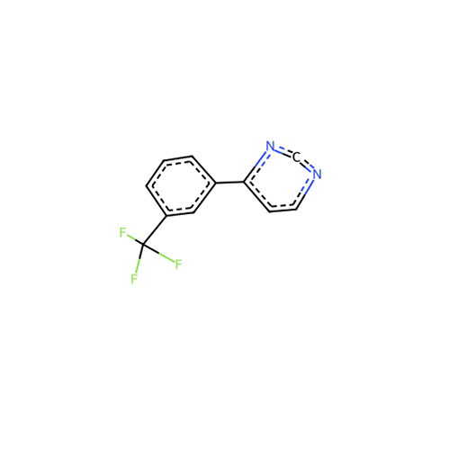 FC(F)(F)c1cccc(-c2ccncn2)c1